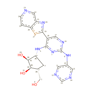 OC[C@H]1C[C@@H](Nc2nc(Nc3cncnc3)ncc2-c2nc3cnccc3s2)[C@H](O)[C@@H]1O